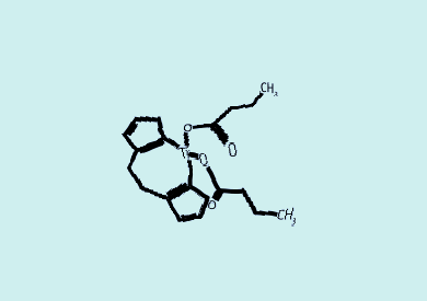 CCCC(=O)[O][Ti]1([O]C(=O)CCC)[C]2=C(C=CC2)CCC2=[C]1CC=C2